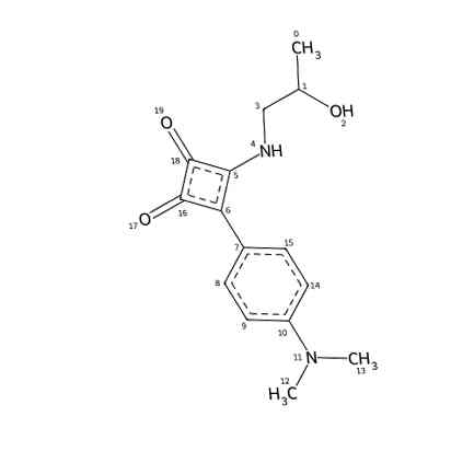 CC(O)CNc1c(-c2ccc(N(C)C)cc2)c(=O)c1=O